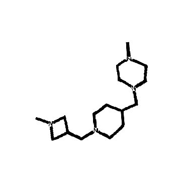 CN1CCN(CC2CCN(CC3CN(C)C3)CC2)CC1